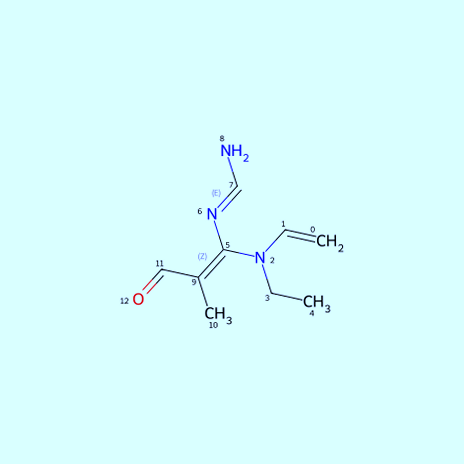 C=CN(CC)C(/N=C/N)=C(\C)C=O